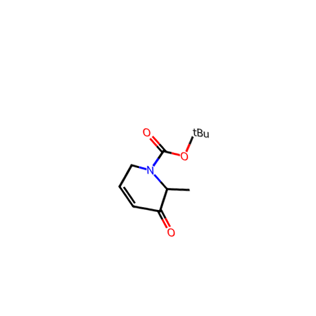 CC1C(=O)C=CCN1C(=O)OC(C)(C)C